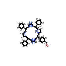 BrCc1ccc(-c2c3nc(c(-c4ccccc4)c4ccc([nH]4)c(-c4ccccc4)c4nc(c(-c5ccccc5)c5ccc2[nH]5)C=C4)C=C3)cc1